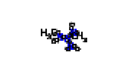 CC1C=CC=C(N(c2ccc(N(C3=CC(C)C(N(c4ccccc4)c4ccc5c(c4)CCC=C5)C=C3)c3ccc(N(c4ccccc4)c4ccc5ccccc5c4)cc3)cc2)c2ccc3ccccc3c2)C1